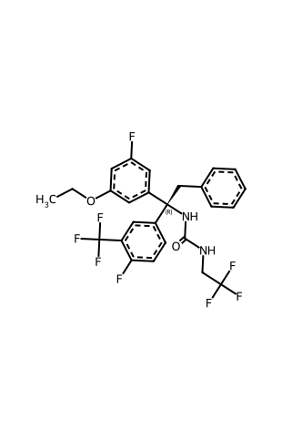 CCOc1cc(F)cc([C@](Cc2ccccc2)(NC(=O)NCC(F)(F)F)c2ccc(F)c(C(F)(F)F)c2)c1